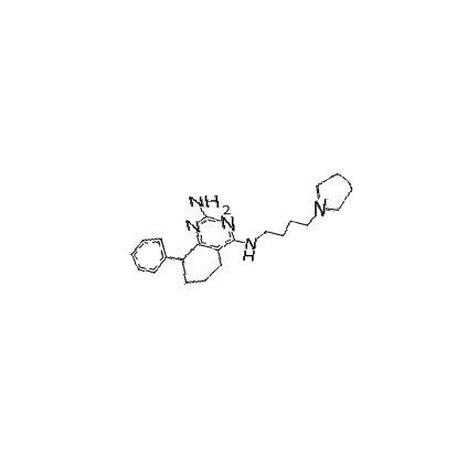 Nc1nc(NCCCCN2CCCC2)c2c(n1)C(c1ccccc1)CCC2